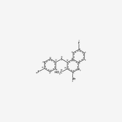 CC(C)c1nc2ccc(F)cc2c(Sc2ccc(F)cc2)c1C(=O)O